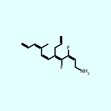 C=C\C=C(C)/C=C\C(CC=C)=C(F)\C(F)=C/CN